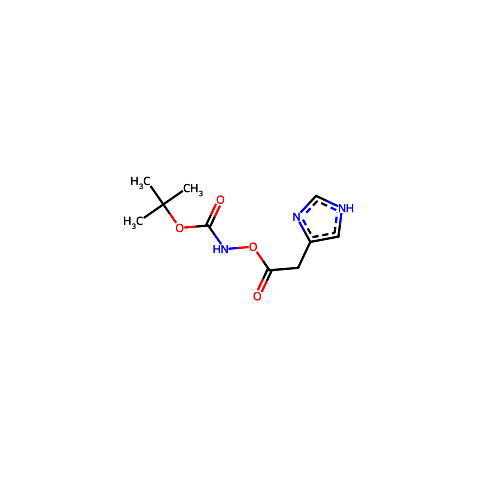 CC(C)(C)OC(=O)NOC(=O)Cc1c[nH]cn1